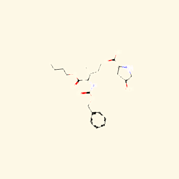 CCCCOC(=O)[C@@H](NC(=O)OCc1ccccc1)[C@@H](C)CC.O=C(O)[C@@H]1CC(O)CN1